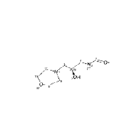 O=CNC[C@@H](O)CN1CCOCC1